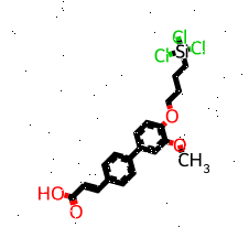 COc1cc(-c2ccc(C=CC(=O)O)cc2)ccc1OCCCC[Si](Cl)(Cl)Cl